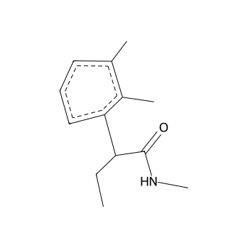 CCC(C(=O)NC)c1cccc(C)c1C